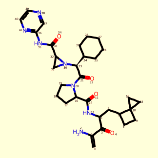 C=C(N)C(=O)C(CC1CCC12CC2)NC(=O)C1CCCN1C(=O)[C@H](C1CCCCC1)N1CC1C(=O)Nc1cnccn1